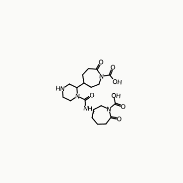 NC(=O)N1CCNCC1C1CCC(=O)N(C(=O)O)CC1.O=C(O)N1CCCCCC1=O